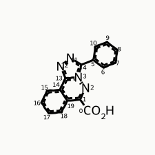 O=C(O)c1nn2c(-c3ccccc3)nnc2c2ccccc12